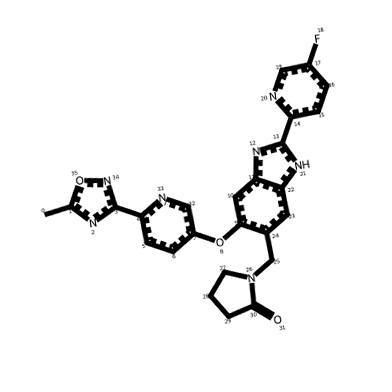 Cc1nc(-c2ccc(Oc3cc4nc(-c5ccc(F)cn5)[nH]c4cc3CN3CCCC3=O)cn2)no1